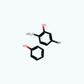 CC(C)c1ccc(C(=O)O)c(O)c1.Oc1ccccc1